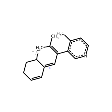 CC(C)=C(/C=C1/C=CCCC1C)c1cnccc1C